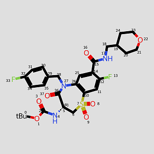 CC(C)(C)OC(=O)N[C@H]1CS(=O)(=O)c2cc(F)c(C(=O)NCC3CCOCC3)cc2N(Cc2ccc(F)cc2)C1=O